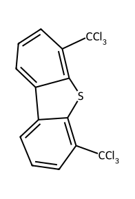 ClC(Cl)(Cl)c1cccc2c1sc1c(C(Cl)(Cl)Cl)cccc12